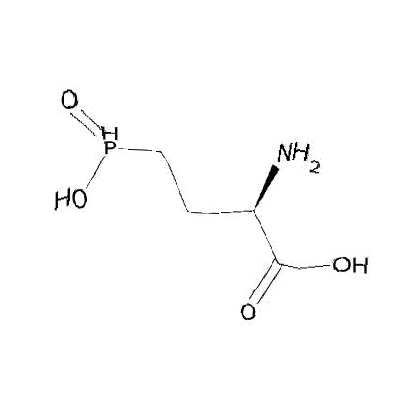 N[C@H](CC[PH](=O)O)C(=O)O